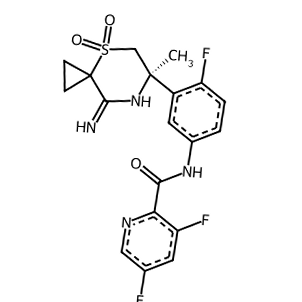 C[C@@]1(c2cc(NC(=O)c3ncc(F)cc3F)ccc2F)CS(=O)(=O)C2(CC2)C(=N)N1